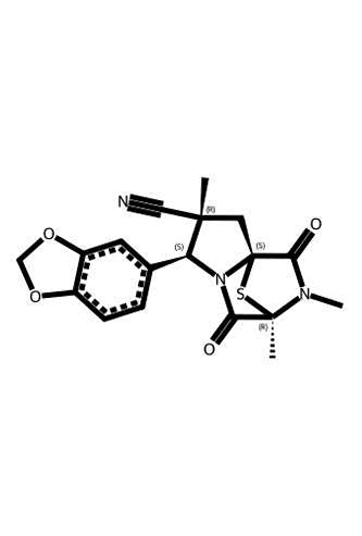 CN1C(=O)[C@@]23C[C@@](C)(C#N)[C@H](c4ccc5c(c4)OCO5)N2C(=O)[C@@]1(C)S3